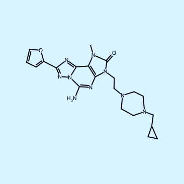 Cn1c(=O)n(CCN2CCN(CC3CC3)CC2)c2nc(N)n3nc(-c4ccco4)nc3c21